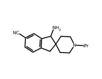 CC(C)N1CCC2(CC1)Cc1ccc(C#N)cc1C2N